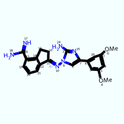 COc1cc(OC)cc(-c2cn(/N=C3\CCc4c(C(=N)N)cccc43)c(N)n2)c1